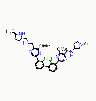 C=C1CC[C@H](CNCc2ncc(-c3cccc(-c4cccc(-c5cnc(CNC6CCN(C(C)=O)C6)c(OC)n5)c4Cl)c3Cl)nc2OC)N1